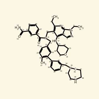 CCc1nc2c(cnn2CC)c(NC2CCOCC2)c1CN(Cc1ccc(C)c(-c2cccc(CN3CCCNCC3)c2)c1)C(=O)c1cccc(C(N)=O)c1